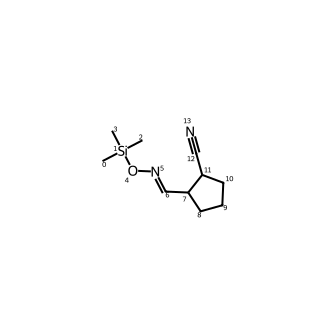 C[Si](C)(C)O/N=C/C1CCCC1C#N